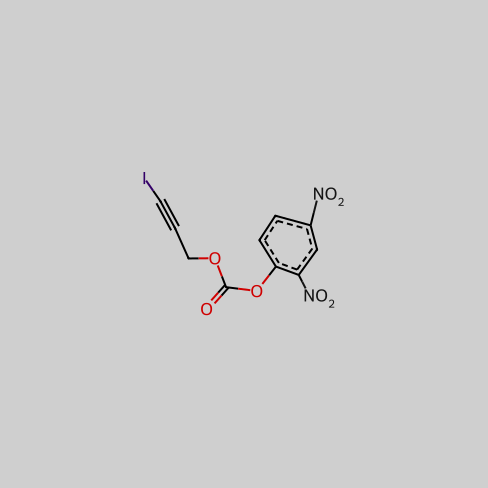 O=C(OCC#CI)Oc1ccc([N+](=O)[O-])cc1[N+](=O)[O-]